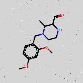 COc1ccc(CN2CCNC(C=O)C2C)c(OC)c1